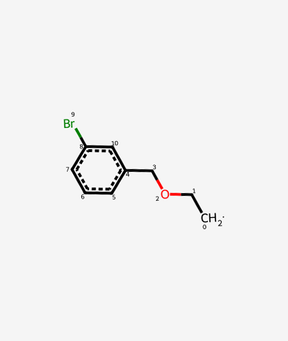 [CH2]COCc1cccc(Br)c1